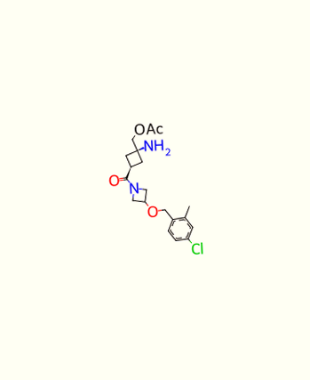 CC(=O)OC[C@]1(N)C[C@@H](C(=O)N2CC(OCc3ccc(Cl)cc3C)C2)C1